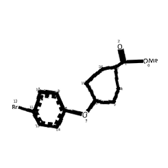 COC(=O)C1CCC(Oc2ccc(Br)cc2)CC1